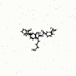 O=C(/N=c1\[nH]c2cc(N3CC4CCC(C3=O)N4C3CC3)ccc2n1CCCO)c1cccc(C(F)F)c1